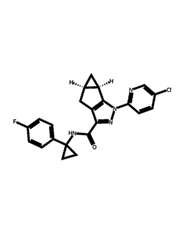 O=C(NC1(c2ccc(F)cc2)CC1)c1nn(-c2ccc(Cl)cn2)c2c1C[C@H]1C[C@@H]21